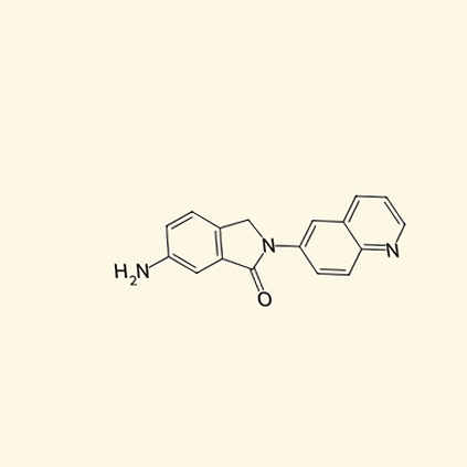 Nc1ccc2c(c1)C(=O)N(c1ccc3ncccc3c1)C2